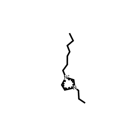 CCCCCCC[n+]1ccn(CCC)c1